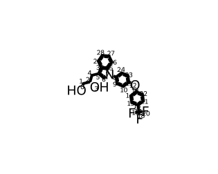 OCC(O)Cc1cn(-c2ccc(Oc3ccc(C(F)(F)F)cc3)cc2)c2ccccc12